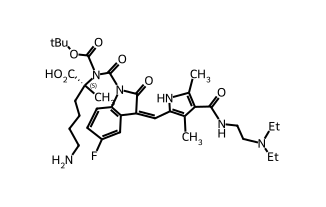 CCN(CC)CCNC(=O)c1c(C)[nH]c(C=C2C(=O)N(C(=O)N(C(=O)OC(C)(C)C)[C@@](C)(CCCCN)C(=O)O)c3ccc(F)cc32)c1C